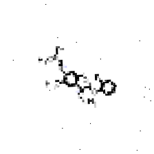 CCN(C)/C=N/c1cc(C)c(/C(COc2ccccc2F)=N/C)cc1C